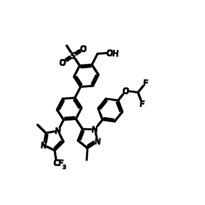 Cc1cc(-c2cc(-c3ccc(CO)c(S(C)(=O)=O)c3)ccc2-n2cc(C(F)(F)F)nc2C)n(-c2ccc(OC(F)F)cc2)n1